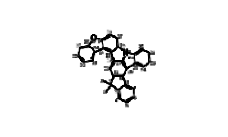 CC1(C)c2ccccc2-c2c1cc1c3c4c(ccc3n3c5ccccc5c2c13)oc1ccccc14